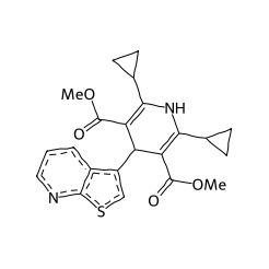 COC(=O)C1=C(C2CC2)NC(C2CC2)=C(C(=O)OC)C1c1csc2ncccc12